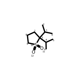 CC(C)C1(C(C)C)CCCS1(=O)=O